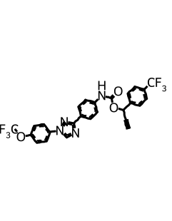 C#CC(OC(=O)Nc1ccc(-c2ncn(-c3ccc(OC(F)(F)F)cc3)n2)cc1)c1ccc(C(F)(F)F)cc1